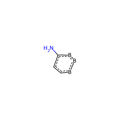 Nc1bbbcc1